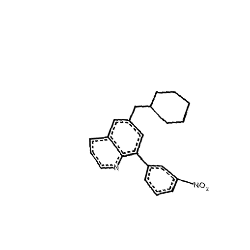 O=[N+]([O-])c1cccc(-c2cc(CC3CCCCC3)cc3cccnc23)c1